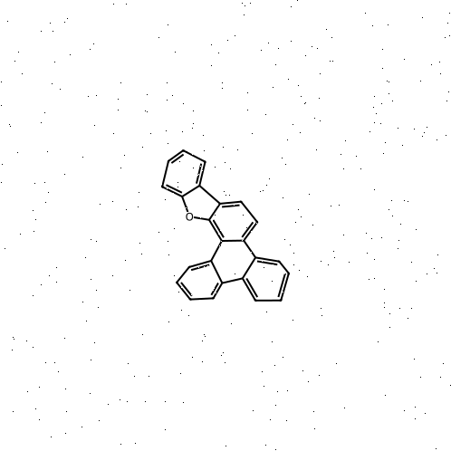 c1ccc2c(c1)oc1c2ccc2c3ccccc3c3ccccc3c21